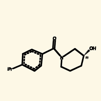 CC(C)c1ccc(C(=O)N2CCC[C@@H](O)C2)cc1